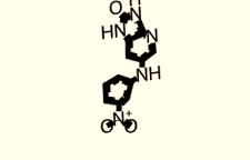 O=c1[nH]c2cc(Nc3cccc([N+](=O)[O-])c3)cnc2[nH]1